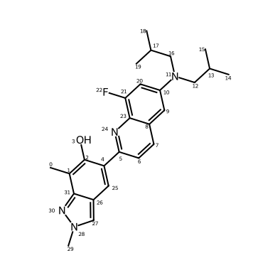 Cc1c(O)c(-c2ccc3cc(N(CC(C)C)CC(C)C)cc(F)c3n2)cc2cn(C)nc12